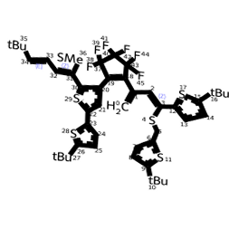 C=C(/C=C(\SCc1ccc(C(C)(C)C)s1)c1ccc(C(C)(C)C)s1)C1=C(c2cc(-c3ccc(C(C)(C)C)s3)sc2/C(=C/C=C/C(C)(C)C)SC)C(F)(F)C(F)(F)C1(F)F